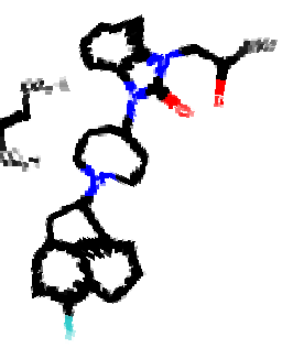 CNC(=O)Cn1c(=O)n(C2CCN(C3Cc4ccc(F)c5cccc3c45)CC2)c2ccccc21.O=C(O)C=CC(=O)O